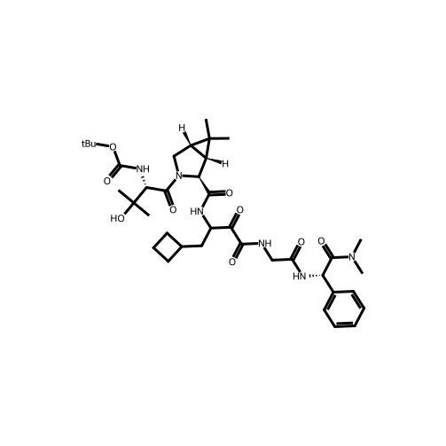 CN(C)C(=O)[C@@H](NC(=O)CNC(=O)C(=O)C(CC1CCC1)NC(=O)[C@@H]1[C@@H]2[C@H](CN1C(=O)[C@@H](NC(=O)OC(C)(C)C)C(C)(C)O)C2(C)C)c1ccccc1